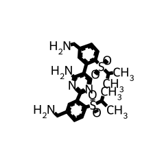 CC(C)S(=O)(=O)c1ccc(CN)cc1-c1ncc(-c2cc(CN)ccc2S(=O)(=O)C(C)C)c(N)n1